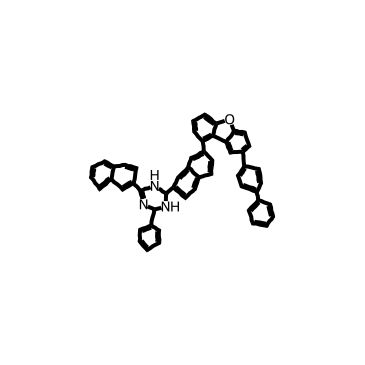 c1ccc(-c2ccc(-c3ccc4oc5cccc(-c6ccc7ccc(C8NC(c9ccc%10ccccc%10c9)=NC(c9ccccc9)N8)cc7c6)c5c4c3)cc2)cc1